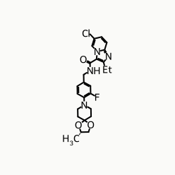 CCc1nc2ccc(Cl)cn2c1C(=O)NCc1ccc(N2CCC3(CC2)OC[C@H](C)O3)c(F)c1